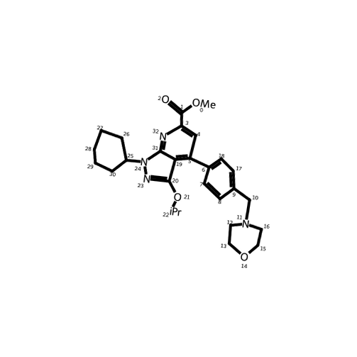 COC(=O)c1cc(-c2ccc(CN3CCOCC3)cc2)c2c(OC(C)C)nn(C3CCCCC3)c2n1